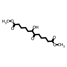 COC(=O)CCCCC(=O)C(O)CCCCC(=O)OC